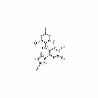 Cc1cc(I)ccc1Nc1c(-c2cc(=O)o[nH]2)cc(F)c(F)c1F